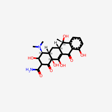 CN(C)[C@@H]1C(O)C(C(N)=O)C(=O)[C@@]2(O)C(O)=C3C(=O)c4c(O)cccc4[C@@](C)(O)[C@H]3C[C@@H]12